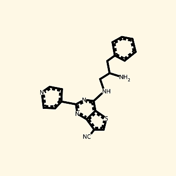 N#Cc1csc2c(NCC(N)Cc3ccccc3)nc(-c3ccncc3)nc12